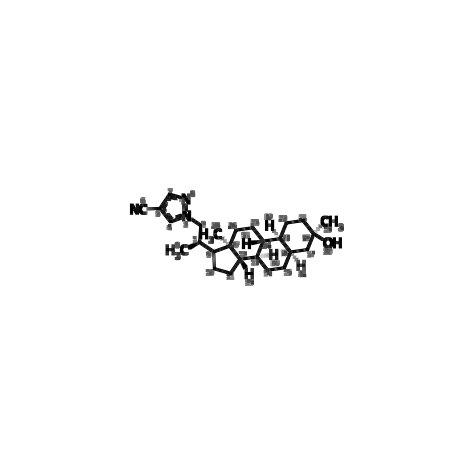 C[C@@H](Cn1cc(C#N)cn1)C1CC[C@H]2[C@@H]3CC[C@@H]4C[C@](C)(O)CC[C@@H]4[C@H]3CC[C@]12C